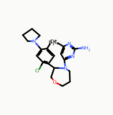 Cc1cc(N2CCCOCC2c2cc(C)c(N3CCCC3)cc2Cl)nc(N)n1